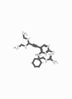 CCOC(C#Cc1cnc(Cl)nc1NC1(COC(C)=O)CCCCC1)OCC